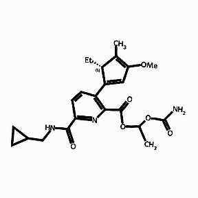 CC[C@H]1C(c2ccc(C(=O)NCC3CC3)nc2C(=O)OC(C)OC(N)=O)=CC(OC)=C1C